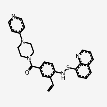 C=Cc1cc(C(=O)N2CCN(c3ccncc3)CC2)ccc1NSc1cccc2cccnc12